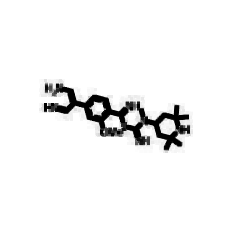 COc1cc(/C(C=N)=C/N)ccc1C(=N)SC(=N)N(C)C1CC(C)(C)NC(C)(C)C1